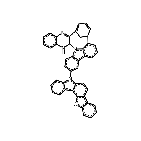 C1=CC2CC(=C1)C1=Nc3ccccc3NC1n1c3ccc(-n4c5ccccc5c5c6oc7ccccc7c6ccc54)cc3c3cccc2c31